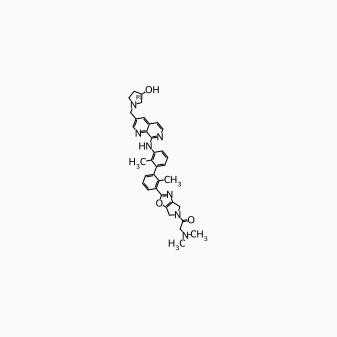 Cc1c(Nc2nccc3cc(CN4CC[C@@H](O)C4)cnc23)cccc1-c1cccc(-c2nc3c(o2)CN(C(=O)CN(C)C)C3)c1C